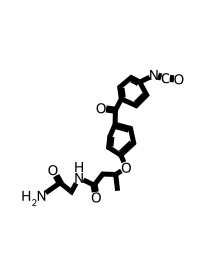 CC(CC(=O)NCC(N)=O)Oc1ccc(C(=O)c2ccc(N=C=O)cc2)cc1